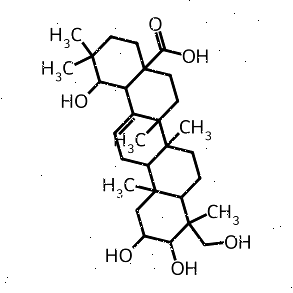 CC1(C)CCC2(C(=O)O)CCC3(C)C(=CCC4C5(C)CC(O)C(O)C(C)(CO)C5CCC43C)C2C1O